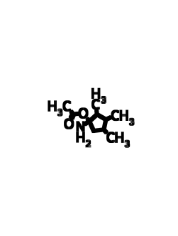 CC(=O)OC1(N)CC(C)C(C)C1C